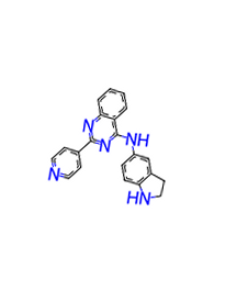 c1ccc2c(Nc3ccc4c(c3)CCN4)nc(-c3ccncc3)nc2c1